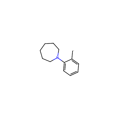 [CH2]c1ccccc1N1CCCCCC1